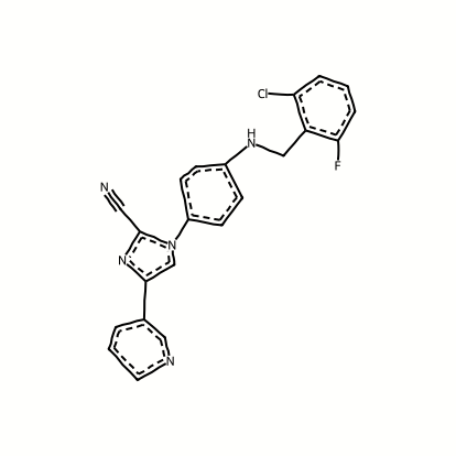 N#Cc1nc(-c2cccnc2)cn1-c1ccc(NCc2c(F)cccc2Cl)cc1